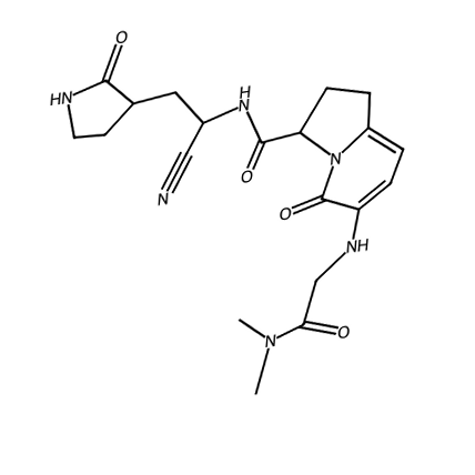 CN(C)C(=O)CNc1ccc2n(c1=O)C(C(=O)NC(C#N)CC1CCNC1=O)CC2